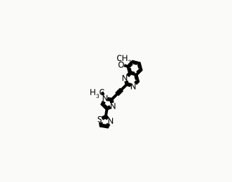 COc1cccc2cnc(C#Cc3nc(-c4nccs4)cn3C)nc12